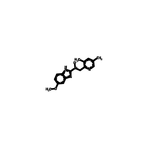 COc1ccc2[nH]c([S+]([O-])Cc3ncc(C)cc3C)nc2c1